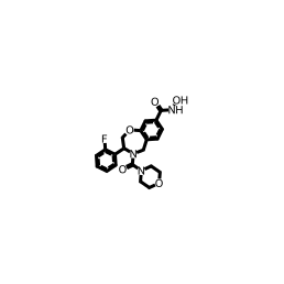 O=C(NO)c1ccc2c(c1)OCC(c1ccccc1F)N(C(=O)N1CCOCC1)C2